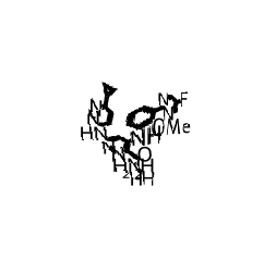 [2H]C([2H])([2H])NC(=O)c1nnc(Nc2ccc(C3CC3)nn2)cc1Nc1cccc(-c2ncc(F)cn2)c1OC